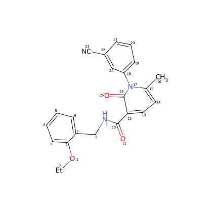 CCOc1ccccc1CNC(=O)c1ccc(C)n(-c2cccc(C#N)c2)c1=O